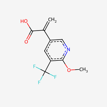 C=C(C(=O)O)c1cnc(OC)c(C(F)(F)F)c1